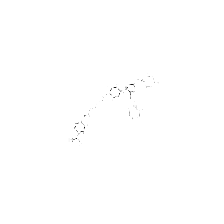 N=C(NO)c1ccc(OCCCCCOc2ccc(-c3nc(CN4CCCCC4)sc3CCN3CCOCC3)cc2)cc1